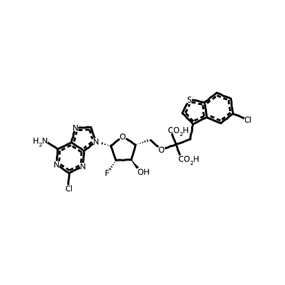 Nc1nc(Cl)nc2c1ncn2[C@@H]1O[C@H](COC(Cc2csc3ccc(Cl)cc23)(C(=O)O)C(=O)O)[C@@H](O)[C@@H]1F